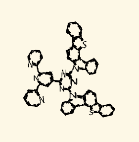 c1ccc(-c2cc(-c3nc(-n4c5ccccc5c5c6sc7ccccc7c6ccc54)nc(-n4c5ccccc5c5c6sc7ccccc7c6ccc54)n3)cc(-c3ccccn3)n2)nc1